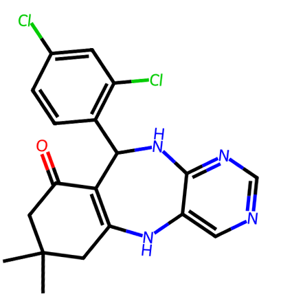 CC1(C)CC(=O)C2=C(C1)Nc1cncnc1NC2c1ccc(Cl)cc1Cl